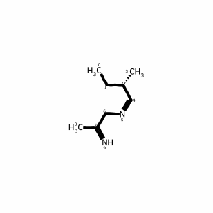 CC[C@H](C)/C=N\CC(C)=N